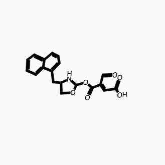 O=C/C(=C\C(=O)O)C(=O)OC1NC(Cc2cccc3ccccc23)CO1